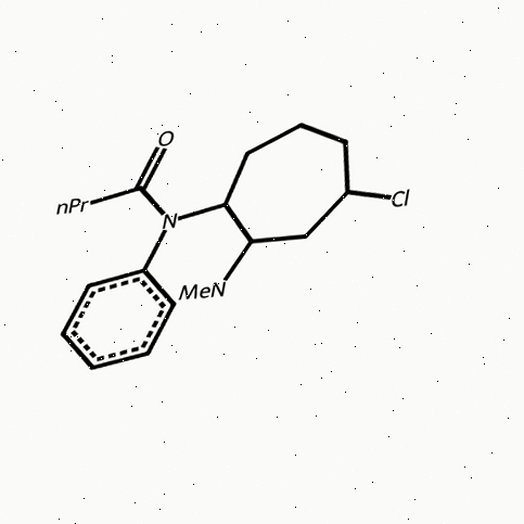 CCCC(=O)N(c1ccccc1)C1CCCC(Cl)CC1NC